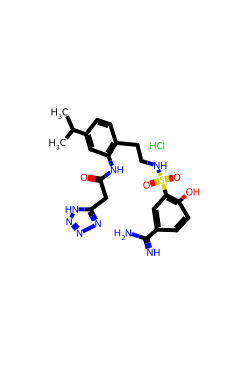 CC(C)c1ccc(CCNS(=O)(=O)c2cc(C(=N)N)ccc2O)c(NC(=O)Cc2nnn[nH]2)c1.Cl